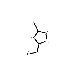 CC(C)CC1SSC(C(C)C)S1